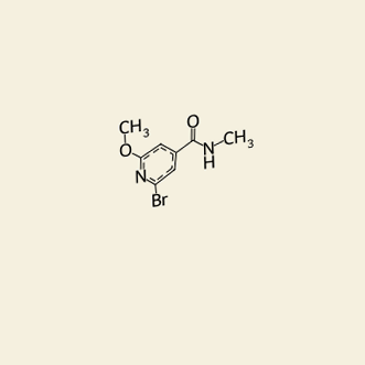 CNC(=O)c1cc(Br)nc(OC)c1